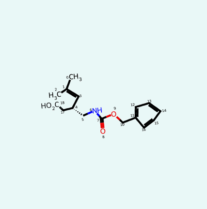 CC(C)=C[C@H](CNC(=O)OCc1ccccc1)CC(=O)O